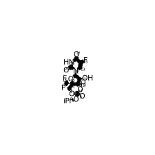 CC(C)OP1(=O)OC[C@@]2(C(F)F)O[C@@H](n3cc(F)c(=O)[nH]c3=O)[C@H](O)[C@H]2O1